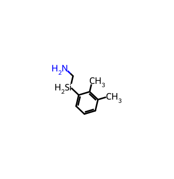 Cc1cccc([SiH2]CN)c1C